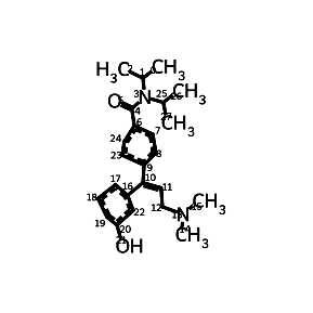 CC(C)N(C(=O)c1ccc(/C(=C/CN(C)C)c2cccc(O)c2)cc1)C(C)C